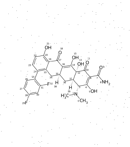 CN(C)[C@H]1C(O)=C(C(N)=O)C(=O)[C@]2(O)C(O)=C3C(=O)c4c(O)ccc(-c5ccc(F)cc5F)c4C[C@@H]3C[C@H]12